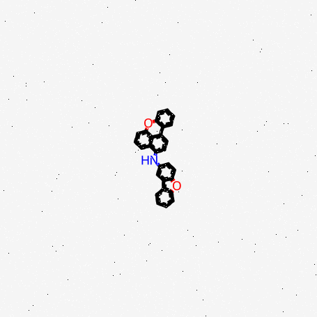 c1ccc2c(c1)Oc1cccc3c(Nc4ccc5oc6ccccc6c5c4)ccc-2c13